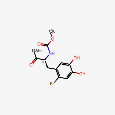 COC(=O)[C@H](Cc1cc(O)c(O)cc1Br)NC(=O)OC(C)(C)C